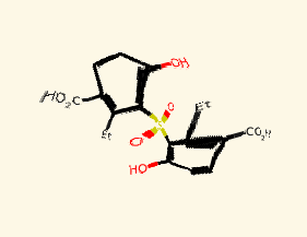 CCc1c(C(=O)O)ccc(O)c1S(=O)(=O)c1c(O)ccc(C(=O)O)c1CC